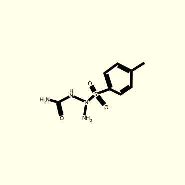 Cc1ccc(S(=O)(=O)N(N)NC(N)=O)cc1